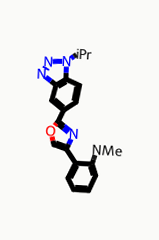 CNc1ccccc1-c1coc(-c2ccc3c(c2)nnn3C(C)C)n1